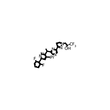 CC(C)c1cc(-c2c(F)cccc2F)nnc1C(C)c1cncc(-c2ccn(C[C@H](O)C(F)(F)F)n2)n1